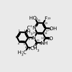 Cc1cccc(C(C)C)c1-n1c(=O)[nH]c(=O)c2c(O)c(F)c(O)nc21